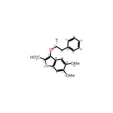 COc1cc2sc(C(=O)O)c(O[C@H](C)Cc3ccccc3)c2cc1OC